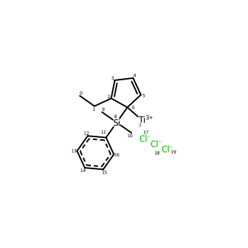 CCC1=CC=C[C]1([Ti+3])[Si](C)(C)c1ccccc1.[Cl-].[Cl-].[Cl-]